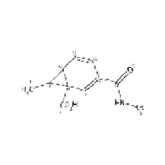 CCNC(=O)C1=CC2(C(=O)O)C(C)C2C=C1